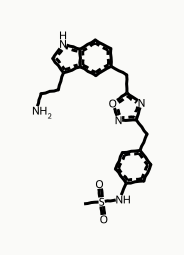 CS(=O)(=O)Nc1ccc(Cc2noc(Cc3ccc4[nH]cc(CCN)c4c3)n2)cc1